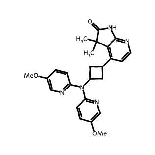 COc1ccc(N(c2ccc(OC)cn2)C2CC(c3ccnc4c3C(C)(C)C(=O)N4)C2)nc1